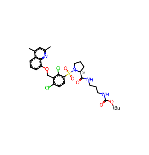 Cc1cc(C)c2cccc(OCc3c(Cl)ccc(S(=O)(=O)N4CCC[C@H]4C(=O)NCCCNC(=O)OC(C)(C)C)c3Cl)c2n1